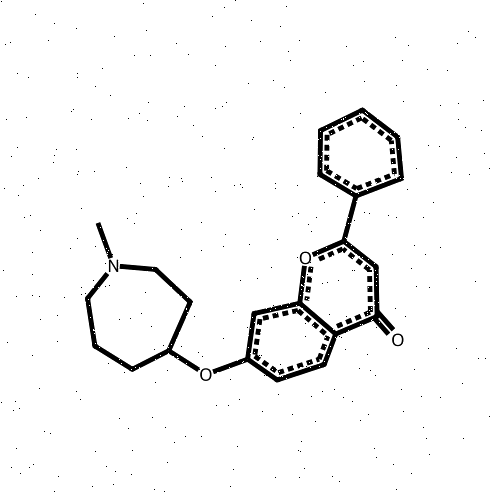 CN1CCCC(Oc2ccc3c(=O)cc(-c4ccccc4)oc3c2)CC1